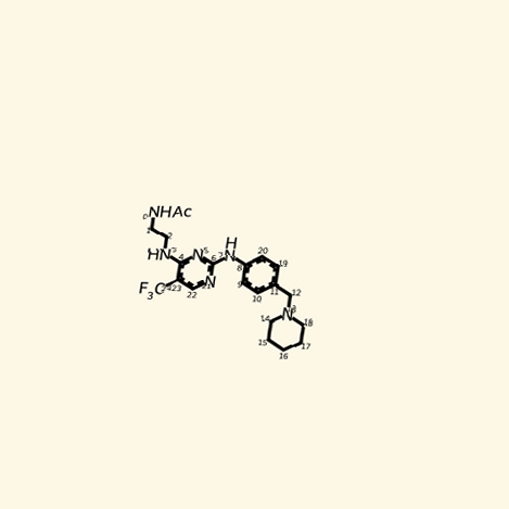 CC(=O)NCCNc1nc(Nc2ccc(CN3CCCCC3)cc2)ncc1C(F)(F)F